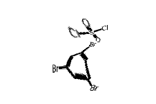 Brc1cc(Br)cc(Br)c1.O=S(=O)(Cl)Cl